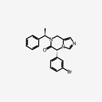 C[C@H](c1ccccc1)N1Cc2cncn2[C@H](c2cccc(Br)c2)C1=O